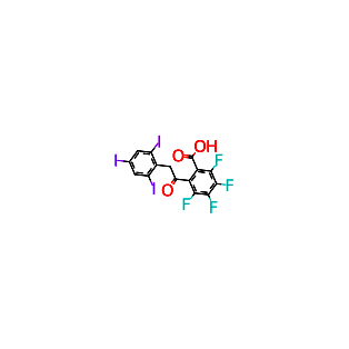 O=C(O)c1c(F)c(F)c(F)c(F)c1C(=O)Cc1c(I)cc(I)cc1I